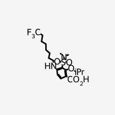 CC(C)Oc1c(C(=O)O)ccc(NCCCCCCCC(F)(F)F)c1S(=O)(=O)N(C)C